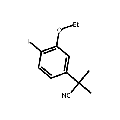 CCOc1cc(C(C)(C)C#N)ccc1I